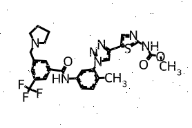 COC(=O)Nc1ncc(-c2cn(-c3cc(NC(=O)c4cc(CN5CCCC5)cc(C(F)(F)F)c4)ccc3C)nn2)s1